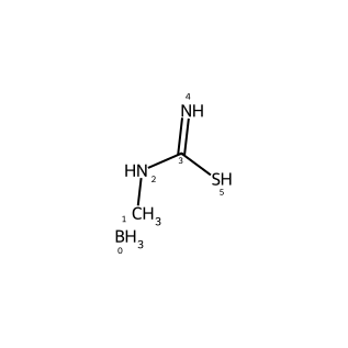 B.CNC(=N)S